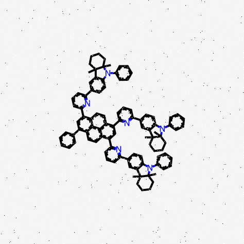 CC12CCCCC1(C)N(c1ccccc1)c1ccc(-c3cccc(-c4cc(-c5ccccc5)c5ccc6c(-c7cccc(-c8ccc9c(c8)C8(C)CCCCC8(C)N9c8ccccc8)n7)cc(-c7cccc(-c8ccc9c(c8)C8(C)CCCCC8(C)N9c8ccccc8)n7)c7ccc4c5c67)n3)cc12